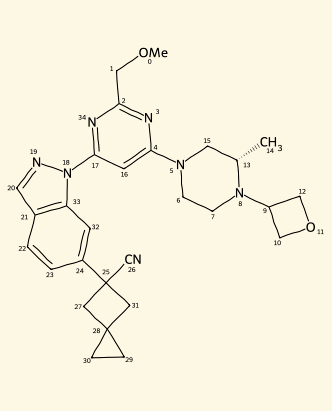 COCc1nc(N2CCN(C3COC3)[C@@H](C)C2)cc(-n2ncc3ccc(C4(C#N)CC5(CC5)C4)cc32)n1